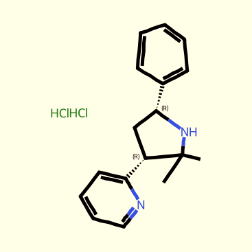 CC1(C)N[C@@H](c2ccccc2)C[C@H]1c1ccccn1.Cl.Cl